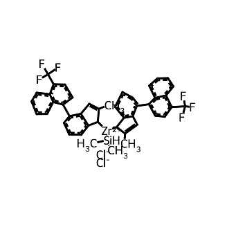 CC1=Cc2c(-c3ccc(C(F)(F)F)c4ccccc34)cccc2[CH]1[Zr+2]([CH]1C(C)=Cc2c(-c3ccc(C(F)(F)F)c4ccccc34)cccc21)[SiH](C)C.[Cl-].[Cl-]